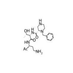 CC(=O)[C@H](CCN)NC(=O)[C@@H](NC(=O)[C@@H]1CNCCN1Cc1ccccc1)[C@H](C)O